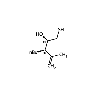 C=C(C)[C@@H](CCCC)[C@@H](O)CS